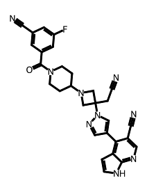 N#CCC1(n2cc(-c3c(C#N)cnc4[nH]ccc34)cn2)CN(C2CCN(C(=O)c3cc(F)cc(C#N)c3)CC2)C1